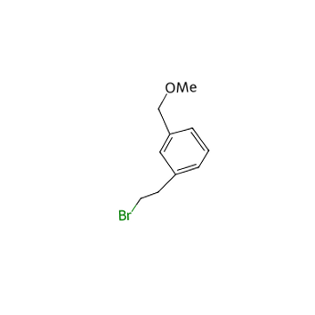 COCc1cccc(CCBr)c1